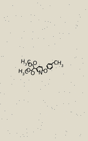 CCc1ccc(Oc2ccc(C(C(=O)OC)C(=O)OC)cn2)cc1